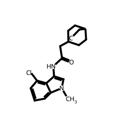 Cn1cc(NC(=O)CC23CCC(CC2)CC3)c2c(Cl)cccc21